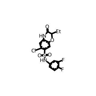 CCC1Oc2cc(S(=O)(=O)Nc3ccc(F)c(F)c3)c(Cl)cc2NC1=O